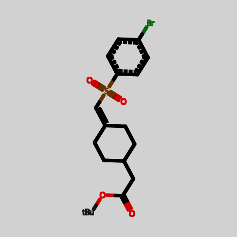 CC(C)(C)OC(=O)CC1CCC(=CS(=O)(=O)c2ccc(Br)cc2)CC1